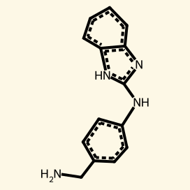 NCc1ccc(Nc2nc3ccccc3[nH]2)cc1